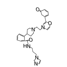 O=C1C=CC=C(C2=CN(CCN3CCC(c4ccccc4C(=O)NCCCn4ccnc4)CC3)C=CO2)C1